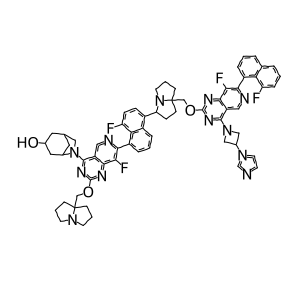 OC1CC2CC(C1)N(c1nc(OCC34CCCN3CCC4)nc3c(F)c(-c4cccc5c(C6CCC7(COc8nc(N9CC(n%10ccnc%10)C9)c9cnc(-c%10cccc%11cccc(F)c%10%11)c(F)c9n8)CCCN67)ccc(F)c45)ncc13)C2